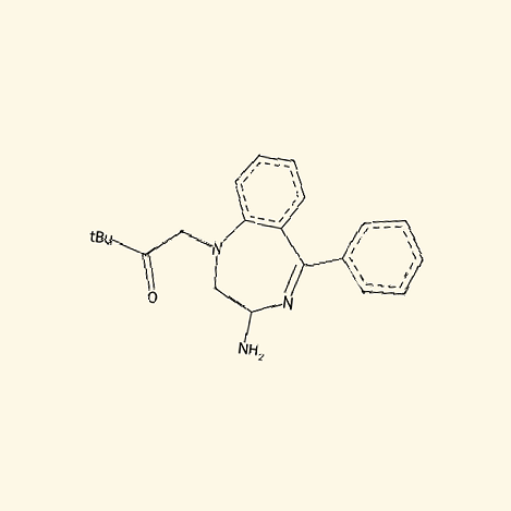 CC(C)(C)C(=O)CN1CC(N)N=C(c2ccccc2)c2ccccc21